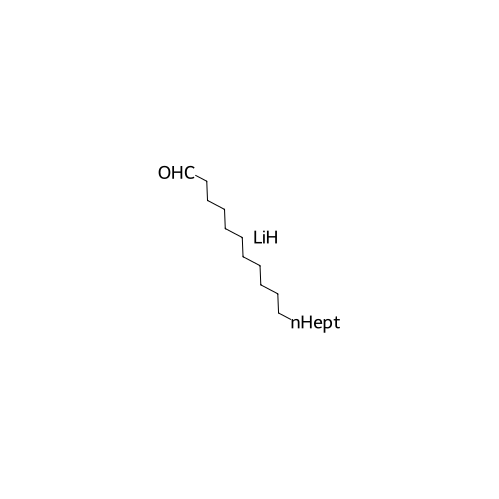 CCCCCCCCCCCCCCCCCC=O.[LiH]